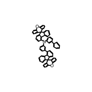 c1ccc(-c2cccc(N(c3cccc(-c4cccc5c4-c4ccccc4C54c5ccccc5Oc5ccccc54)c3)c3cccc4c3-c3ccccc3C43c4ccccc4Oc4ccccc43)c2)cc1